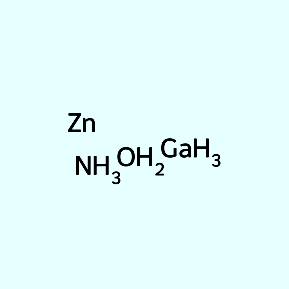 N.O.[GaH3].[Zn]